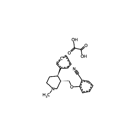 CN1CC[C@@H](c2ccccc2)[C@H](COc2ccccc2C#N)C1.O=C(O)C(=O)O